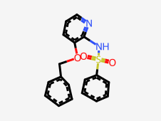 O=S(=O)(Nc1ncccc1OCc1ccccc1)c1ccccc1